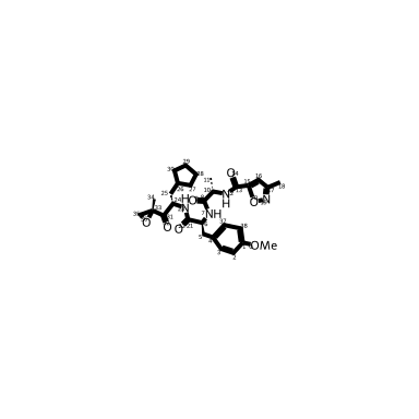 COc1ccc(C[C@H](NC(=O)[C@H](C)NC(=O)c2cc(C)no2)C(=O)N[C@@H](CC2CCCC2)C(=O)[C@@]2(C)CO2)cc1